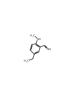 CCc1ccc(NC)c(C=N)c1